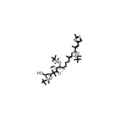 CC[C@@H](C(=O)C(C)(C)[C@H](CCO)O[Si](C)(C)C(C)(C)C)[C@@H](O[Si](C)(C)C(C)(C)C)[C@@H](C)CCC/C(C)=C/C[C@H](O[Si](C)(C)C(C)(C)C)/C(C)=C/c1csc(C)n1